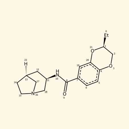 CC[C@H]1COc2ccc(C(=O)N[C@@H]3C[C@@H]4CCN(C4)C3)cc2O1